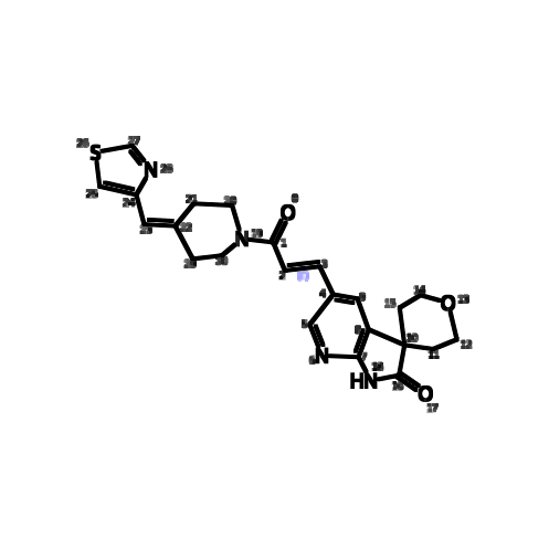 O=C(/C=C/c1cnc2c(c1)C1(CCOCC1)C(=O)N2)N1CCC(=Cc2cscn2)CC1